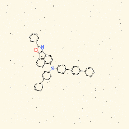 c1ccc(-c2ccc(-c3ccc(N(c4ccc(-c5ccccc5)cc4)c4ccc5c6c(cccc46)-c4oc(-c6ccccc6)nc4-5)cc3)cc2)cc1